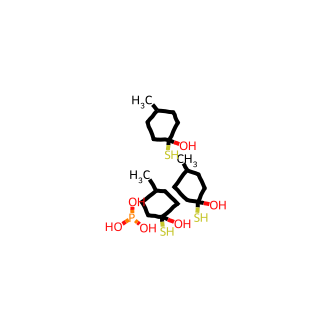 CC1CCC(O)(S)CC1.CC1CCC(O)(S)CC1.CC1CCC(O)(S)CC1.OP(O)O